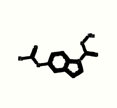 CCC(=O)Oc1ccc2c(ccn2C(=O)OC(C)(C)C)c1